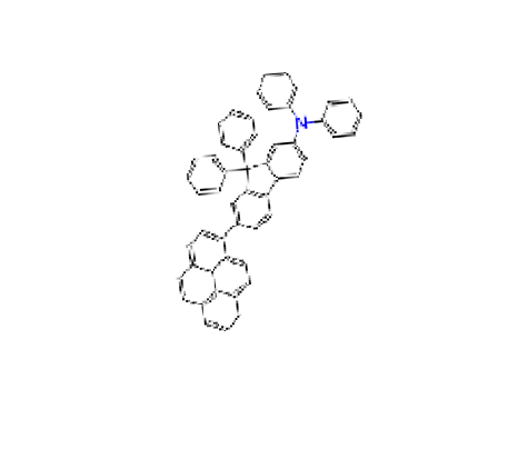 C1=CC2=C3C(=CC=C4C(c5ccc6c(c5)C(c5ccccc5)(c5ccccc5)c5cc(N(c7ccccc7)c7ccccc7)ccc5-6)=CC=C(C=C2)C43)C1